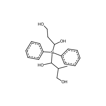 CC(CO)C(O)[Si](c1ccccc1)(c1ccccc1)C(O)CCO